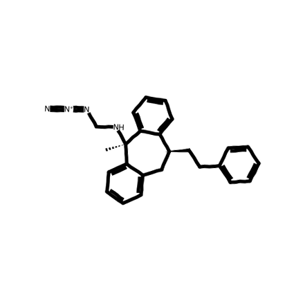 C[C@@]1(NCN=[N+]=[N-])c2ccccc2C[C@H](CCc2ccccc2)c2ccccc21